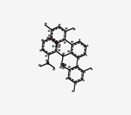 Cc1cc(C)c(-c2cccc(-c3c(C)cc(C)cc3C)c2P(c2ccccc2N(C)C)C(C)(C)C)c(C)c1